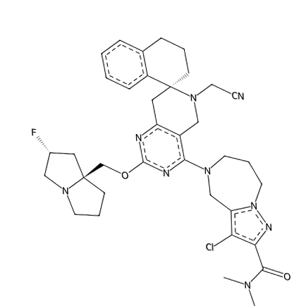 CN(C)C(=O)c1nn2c(c1Cl)CN(c1nc(OC[C@@]34CCCN3C[C@H](F)C4)nc3c1CN(CC#N)[C@@]1(CCCc4ccccc41)C3)CCC2